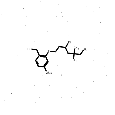 CCC(C)CC(C)(C)CC(CC)CCOc1cc(OC)ccc1CO